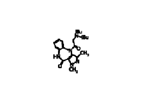 CCC(C)N(CC(=O)N1c2ccccc2NC(=O)c2c1c(C)nn2C)C(C)CC